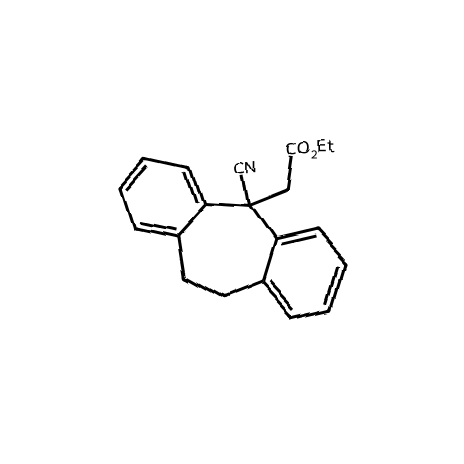 CCOC(=O)CC1(C#N)c2ccccc2CCc2ccccc21